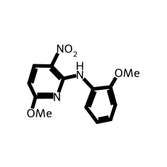 COc1ccc([N+](=O)[O-])c(Nc2ccccc2OC)n1